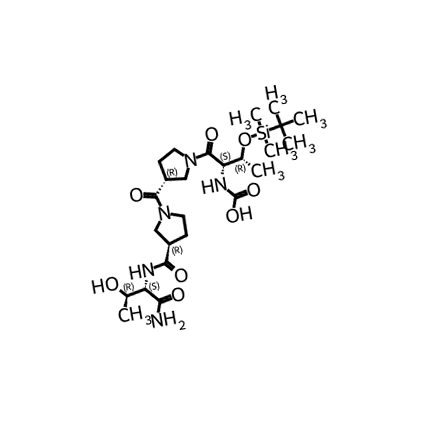 C[C@@H](O)[C@H](NC(=O)[C@@H]1CCN(C(=O)[C@@H]2CCN(C(=O)[C@@H](NC(=O)O)[C@@H](C)O[Si](C)(C)C(C)(C)C)C2)C1)C(N)=O